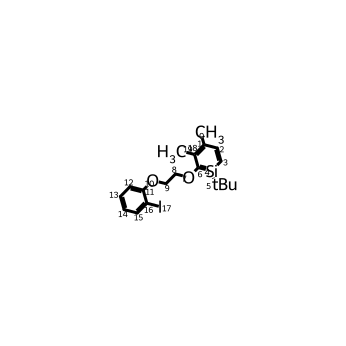 Cc1cc[si](C(C)(C)C)c(OCCOc2ccccc2I)c1C